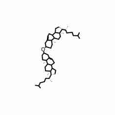 CC(C)CCC[C@@H](C)[C@H]1CCC2C3CC=C4CC(OC5CC[C@@]6(C)C(=CCC7C6CC[C@@]6(C)C7CC[C@@H]6[C@H](C)CCCC(C)C)C5)CC[C@]4(C)C3CC[C@@]21C